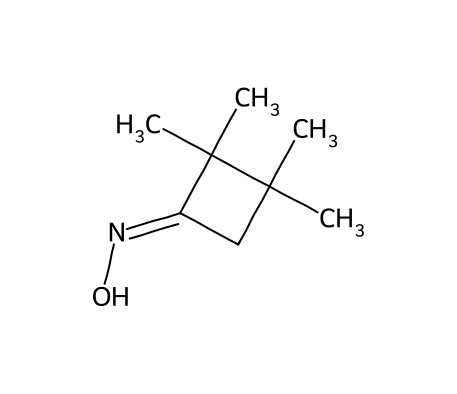 CC1(C)CC(=NO)C1(C)C